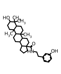 CC1(C)C(O)CCC2(C)C1CCC1(C)C3CCC4(C(=O)NCCc5cccc(O)c5)CCCC4C3CCC12